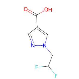 O=C(O)c1cnn(CC(F)F)c1